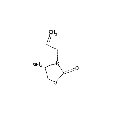 C=CCN1CCOC1=O.[SiH4]